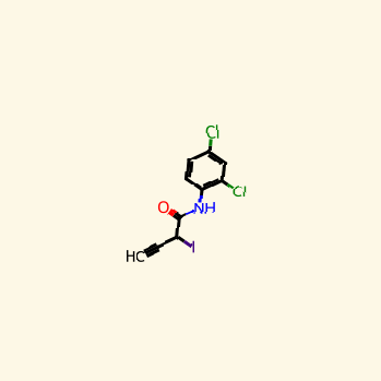 C#CC(I)C(=O)Nc1ccc(Cl)cc1Cl